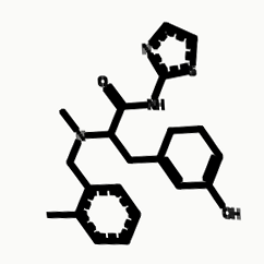 Cc1ccccc1CN(C)C(CC1=CC(O)=CCC1)C(=O)Nc1nccs1